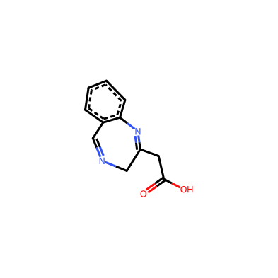 O=C(O)CC1=Nc2ccccc2C=NC1